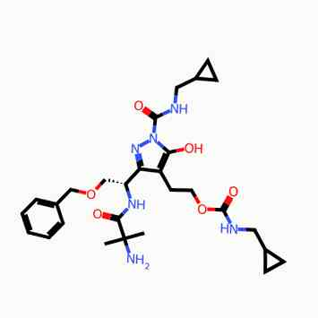 CC(C)(N)C(=O)N[C@H](COCc1ccccc1)c1nn(C(=O)NCC2CC2)c(O)c1CCOC(=O)NCC1CC1